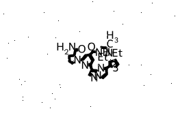 CCN(CC)C(C)CNC(=O)c1cc(-c2cnn3ccc(-c4cccs4)nc23)nc(N2CCCC2C(N)=O)c1